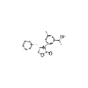 Cc1cc(C(C)Br)cc(N2C(=O)OC[C@@H]2Cc2ccccc2)c1